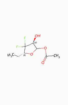 CC[C@H]1OC(OC(C)=O)[C@H](O)C1(F)F